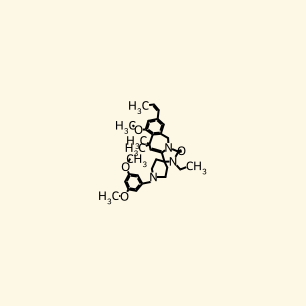 C/C=C\c1cc2c(c(OC)c1)C(C)(C)C=C1N(C2)C(=O)N(CC)C12CCN(Cc1cc(OC)cc(OC)c1)CC2